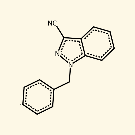 N#Cc1nn(Cc2cc[c]cc2)c2ccccc12